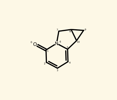 O=c1cccc2n1CC1CC21